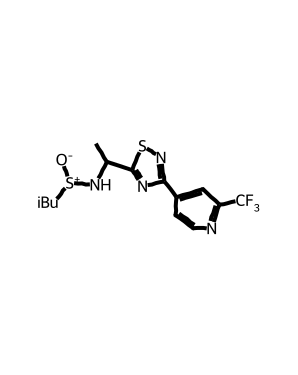 CCC(C)[S+]([O-])NC(C)c1nc(-c2ccnc(C(F)(F)F)c2)ns1